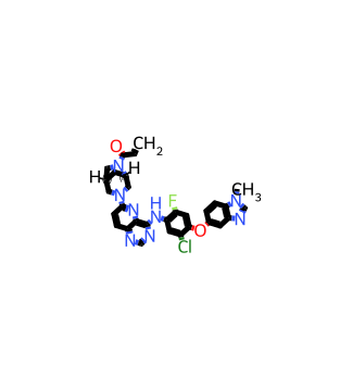 C=CC(=O)N1C[C@H]2C[C@@H]1CN(c1ccc3ncnc(Nc4cc(Cl)c(Oc5ccc6c(c5)ncn6C)cc4F)c3n1)C2